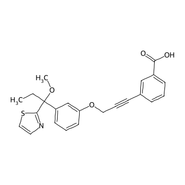 CCC(OC)(c1cccc(OCC#Cc2cccc(C(=O)O)c2)c1)c1nccs1